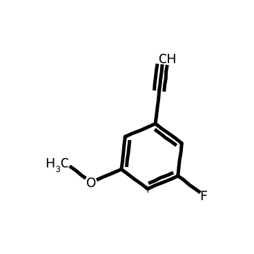 C#Cc1cc(F)[c]c(OC)c1